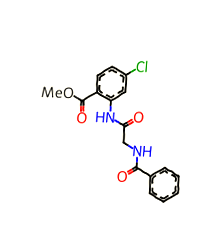 COC(=O)c1ccc(Cl)cc1NC(=O)CNC(=O)c1ccccc1